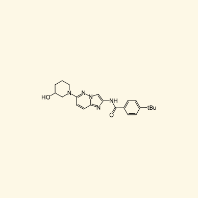 CC(C)(C)c1ccc(C(=O)Nc2cn3nc(N4CCCC(O)C4)ccc3n2)cc1